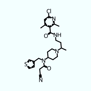 Cc1cc(Cl)nc(C)c1C(=O)NCCC(C)N1CCC(N(Cc2ccsc2)C(=O)CC#N)CC1